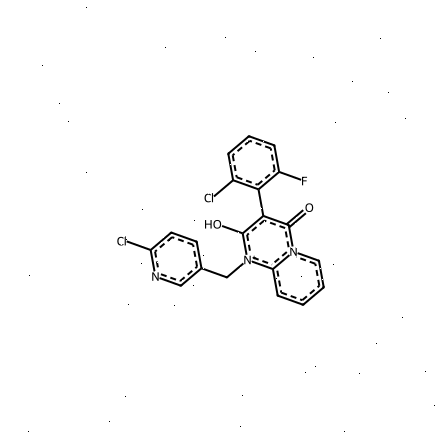 O=c1c(-c2c(F)cccc2Cl)c(O)[n+](Cc2ccc(Cl)nc2)c2ccccn12